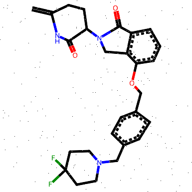 C=C1CCC(N2Cc3c(OCc4ccc(CN5CCC(F)(F)CC5)cc4)cccc3C2=O)C(=O)N1